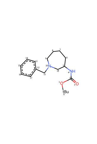 CC(C)(C)OC(=O)NC1CCCCN(Cc2ccccc2)C1